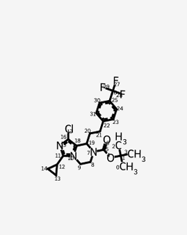 CC(C)(C)OC(=O)N1CCn2c(C3CC3)nc(Cl)c2C1CCc1ccc(C(F)(F)F)cc1